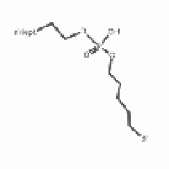 CCCCCCCCCOP(=O)(O)OCCCCCBr